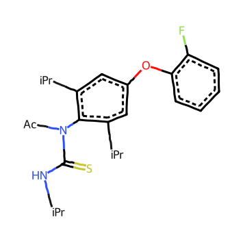 CC(=O)N(C(=S)NC(C)C)c1c(C(C)C)cc(Oc2ccccc2F)cc1C(C)C